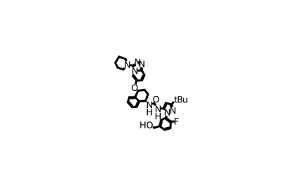 CC(C)(C)c1cc(NC(=O)N[C@H]2CC[C@@H](Oc3ccc4nnc(N5CCCCC5)n4c3)c3ccccc32)n(-c2cc(CO)ccc2F)n1